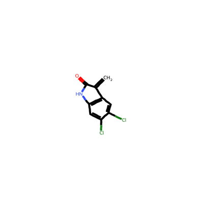 C=C1C(=O)Nc2cc(Cl)c(Cl)cc21